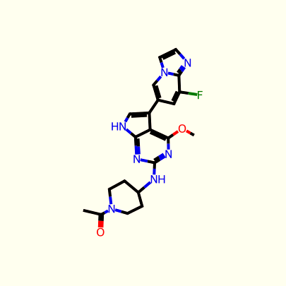 COc1nc(NC2CCN(C(C)=O)CC2)nc2[nH]cc(-c3cc(F)c4nccn4c3)c12